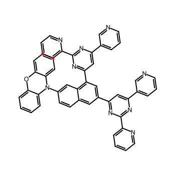 c1ccc(-c2nc(-c3cccnc3)cc(-c3cc(-c4cc(-c5cccnc5)nc(-c5ccccn5)n4)c4cc(N5c6ccccc6Oc6ccccc65)ccc4c3)n2)nc1